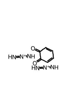 N=[N+]=N.N=[N+]=N.O=C1C=CC=CC1=O